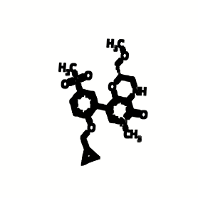 COC[C@@H]1CNc2c(c(-c3cc(S(C)(=O)=O)ccc3OCC3CC3)cn(C)c2=O)O1